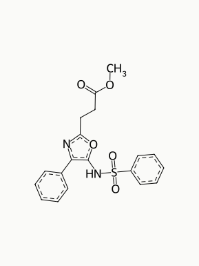 COC(=O)CCc1nc(-c2ccccc2)c(NS(=O)(=O)c2ccccc2)o1